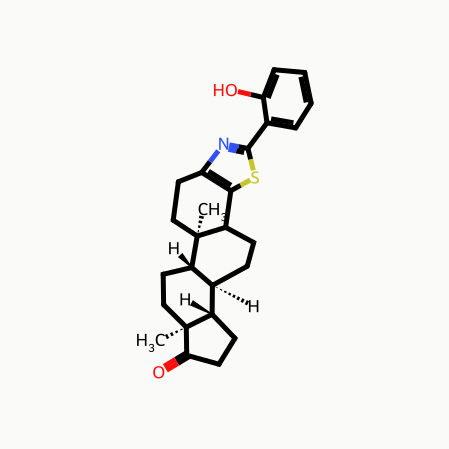 C[C@]12CCc3nc(-c4ccccc4O)sc3C1CC[C@@H]1[C@@H]2CC[C@]2(C)C(=O)CC[C@@H]12